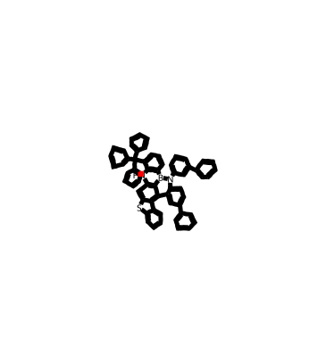 c1ccc(-c2cccc(N3B4c5cccc(C(c6ccccc6)(c6ccccc6)c6ccccc6)c5Nc5cc6sc7ccccc7c6c(c54)-c4cc(-c5ccccc5)ccc43)c2)cc1